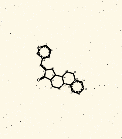 O=C1C(=Cc2cccnc2)CC2C1CCC1c3ccccc3CCC12